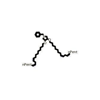 CCCCC/C=C\C/C=C\CCCCCCCCOC1CN(Cc2ccccc2)C[C@H]1OCCCCCCCC/C=C\C/C=C\CCCCC